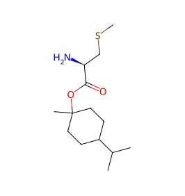 CSC[C@H](N)C(=O)OC1(C)CCC(C(C)C)CC1